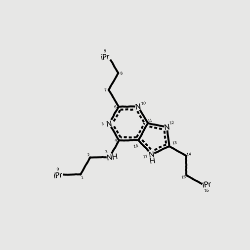 CC(C)CCNc1nc(CCC(C)C)nc2nc(CCC(C)C)[nH]c12